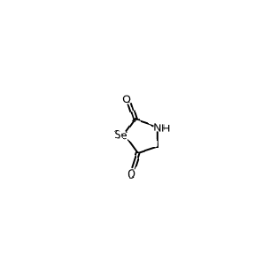 O=C1CNC(=O)[Se]1